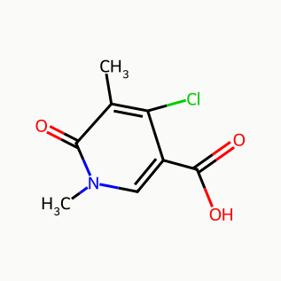 Cc1c(Cl)c(C(=O)O)cn(C)c1=O